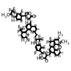 Cc1cc(C(F)(F)F)c(-c2ccc(C[C@H](NC(=O)c3c(F)cc(N[C@H](CCc4ccc5c(C[C@H](NC(=O)c6c(F)cc(N[C@H](C)C(F)(F)F)cc6F)C(=O)O)ccc(-c6nc(N)ccc6C(F)(F)F)c5n4)C(F)(F)F)cc3F)C(=O)O)c3cccnc23)c(=O)n1C